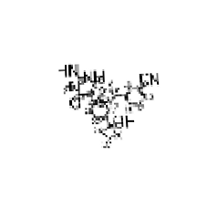 CN1C(=N)N[C@](C)(c2cc(-c3cccc(C#N)c3)cs2)C(c2ccc(C3(O)CCC3)cc2)C1=O